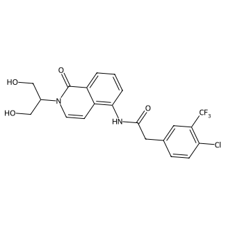 O=C(Cc1ccc(Cl)c(C(F)(F)F)c1)Nc1cccc2c(=O)n(C(CO)CO)ccc12